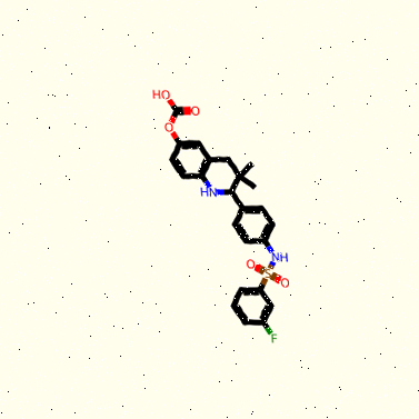 CC1(C)Cc2cc(OC(=O)O)ccc2NC1c1ccc(NS(=O)(=O)c2cccc(F)c2)cc1